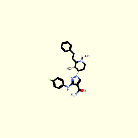 N#C[C@@H]1C(CCc2ccccc2)N(C(=O)O)CC[C@@H]1n1cc(C(N)=O)c(Nc2ccc(F)cc2)n1